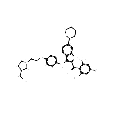 Cc1cc(F)cc(C)c1C(=O)c1sc2cc(C3CCCCO3)ccc2c1Oc1ccc(OCCN2CCC(CF)C2)cc1